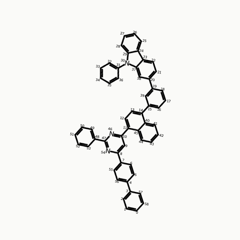 c1ccc(-c2ccc(-c3cc(-c4ccc(-c5cccc(-c6ccc7c8ccccc8n(-c8ccccc8)c7c6)c5)c5ccccc45)nc(-c4ccccc4)n3)cc2)cc1